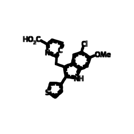 COc1cc2[nH]c(-c3ccsc3)c(Cc3cccc(C(=O)O)n3)c2cc1Cl